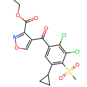 CCOC(=O)c1nocc1C(=O)c1cc(C2CC2)c(S(C)(=O)=O)c(Cl)c1Cl